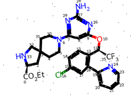 CCOC(=O)[C@@H]1CC2(CCN(c3cc(O[C@H](c4ccc(Cl)cc4-c4ccccn4)C(F)(F)F)nc(N)n3)CC2)CN1